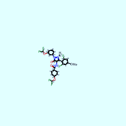 COc1cc(F)c(-c2c(NC(=O)c3ccc(OC(F)F)cc3)c(=O)n(-c3cccc(OC(F)F)c3)n2C)c(F)c1